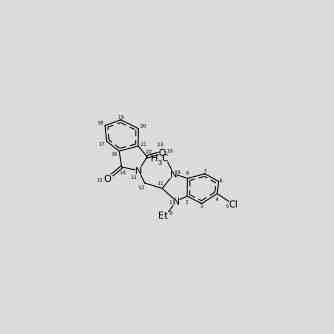 CCN1c2cc(Cl)ccc2N(C)C1CN1C(=O)c2ccccc2C1=O